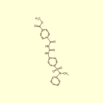 COC(=O)c1ccc(C(=O)NC(=S)Nc2ccc(S(=O)(=O)N(C)c3ccccc3)cc2)cc1